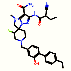 CCc1ccc(-c2ccc(CN3CCC(CNC)(n4cc(C(N)=O)c(NC(=O)C(C#N)CC)n4)C(F)C3)cc2O)cc1